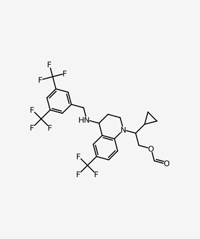 O=COCC(C1CC1)N1CCC(NCc2cc(C(F)(F)F)cc(C(F)(F)F)c2)c2cc(C(F)(F)F)ccc21